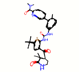 Cc1ccc(NC(=O)Nc2sc(C(C)(C)C)cc2C(=O)C2CCNC(=O)C2(C)C)cc1-c1ccc(C(=O)N(C)C)nc1